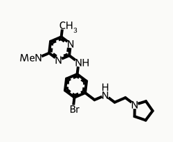 CNc1cc(C)nc(Nc2ccc(Br)c(CNCCN3CCCC3)c2)n1